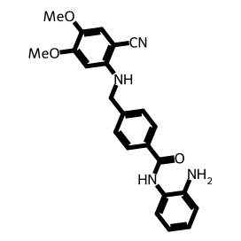 COc1cc(C#N)c(NCc2ccc(C(=O)Nc3ccccc3N)cc2)cc1OC